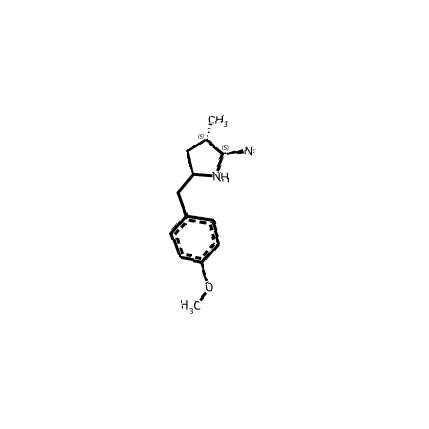 COc1ccc(CC2C[C@H](C)[C@@H]([N])N2)cc1